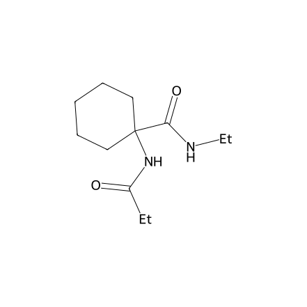 CCNC(=O)C1(NC(=O)CC)CCCCC1